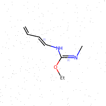 C=C/C=C/N/C(=N\C)OCC